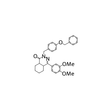 COc1ccc(C2=NN(Cc3ccc(OCc4ccccc4)cc3)C(=O)C3CCCCC23)cc1OC